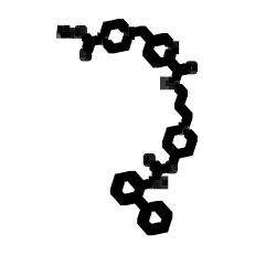 COC(=O)N1CCN(Cc2ccc(C(=O)NCCCN3CCC(OC(=O)Nc4ccccc4-c4ccccc4)CC3)nc2)CC1